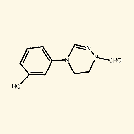 O=CN1CCN(c2cccc(O)c2)C=N1